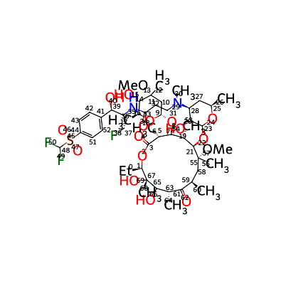 CC[C@H]1OC(=O)[C@H](C)[C@@H](O[C@H]2C[C@@](C)(OC)[C@@H](O)[C@H](C)O2)[C@H](C)[C@@H](O[C@@H]2O[C@H](C)C[C@H](N(C)CCC(=O)N[C@H](CF)[C@H](O)c3ccc(S(=O)(=O)C(F)F)cc3)[C@H]2O)[C@](C)(OC)C[C@@H](C)C(=O)[C@H](C)[C@@H](O)[C@]1(C)O